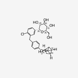 C[C@@]12C3[C@@H]1[C@@H]2C[C@H]3Oc1ccc(Cc2cc([C@H]3O[C@H](CO)[C@@H](O)[C@H](O)[C@H]3O)ccc2Cl)cc1